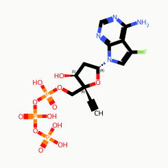 C#C[C@]1(COP(=O)(O)OP(=O)(O)OP(=O)(O)O)O[C@@H](n2cc(F)c3c(N)ncnc32)C[C@@H]1O